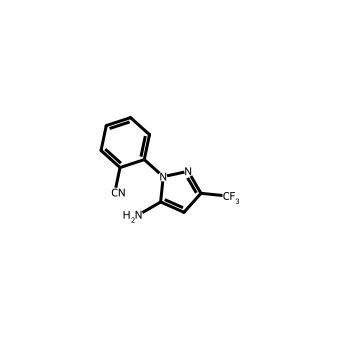 N#Cc1ccccc1-n1nc(C(F)(F)F)cc1N